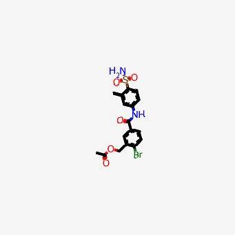 CC(=O)OCc1cc(C(=O)Nc2ccc(S(N)(=O)=O)c(C)c2)ccc1Br